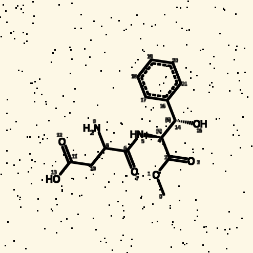 COC(=O)[C@@H](NC(=O)C(N)CC(=O)O)[C@@H](O)c1ccccc1